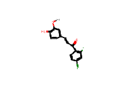 CCOc1cc(C=CC(=O)c2ccc(F)cc2F)ccc1O